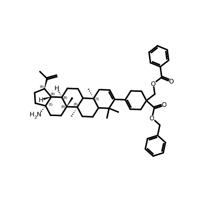 C=C(C)[C@@H]1CC[C@]2(N)CC[C@]3(C)[C@H](CCC4[C@@]5(C)CC=C(C6=CCC(COC(=O)c7ccccc7)(C(=O)OCc7ccccc7)CC6)C(C)(C)C5CC[C@]43C)[C@@H]12